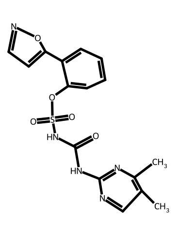 Cc1cnc(NC(=O)NS(=O)(=O)Oc2ccccc2-c2ccno2)nc1C